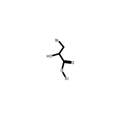 CCOC(=O)C(O)CBr